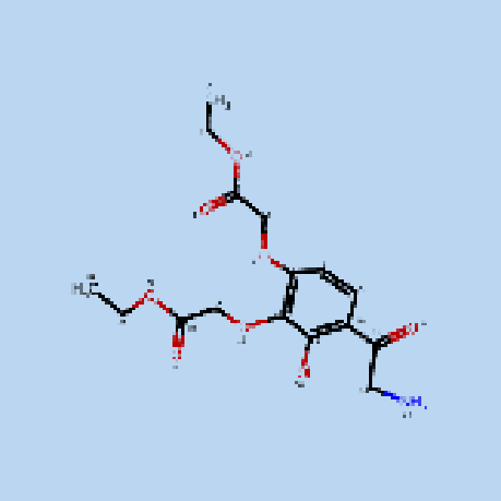 CCOC(=O)COc1ccc(C(=O)CN)c(O)c1OCC(=O)OCC